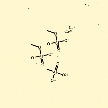 CO[As](=O)([O-])[O-].CO[As](=O)([O-])[O-].C[As](=O)(O)O.[Ca+2].[Ca+2]